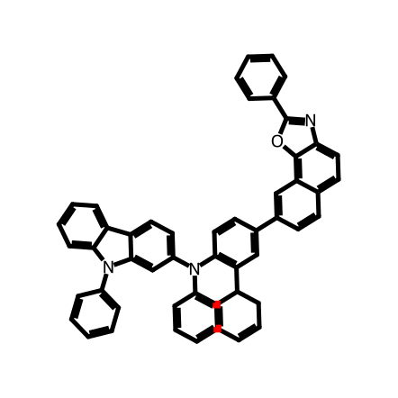 C1=CCC(c2cc(-c3ccc4ccc5nc(-c6ccccc6)oc5c4c3)ccc2N(c2ccccc2)c2ccc3c4ccccc4n(-c4ccccc4)c3c2)C=C1